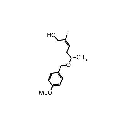 COc1ccc(CO[C@H](C)C/C=C(/F)CO)cc1